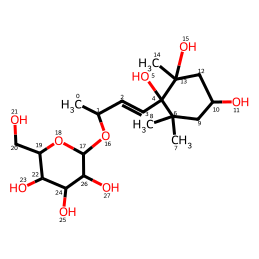 CC(C=CC1(O)C(C)(C)CC(O)CC1(C)O)OC1OC(CO)C(O)C(O)C1O